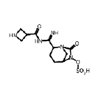 N=C(NC(=O)C1CNC1)C1CCC2CN1C(=O)N2OS(=O)(=O)O